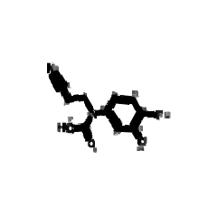 N#CCCN(C(=O)O)c1ccc(F)c(Cl)c1